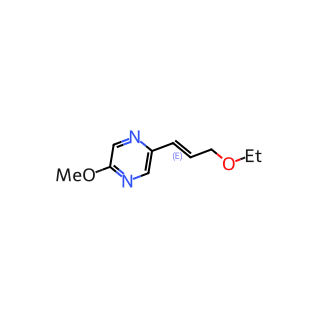 CCOC/C=C/c1cnc(OC)cn1